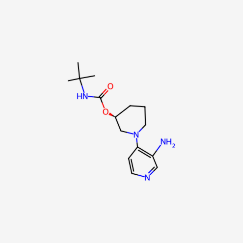 CC(C)(C)NC(=O)O[C@H]1CCCN(c2ccncc2N)C1